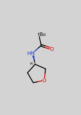 CC(C)(C)C(=O)N[C@@H]1CCOC1